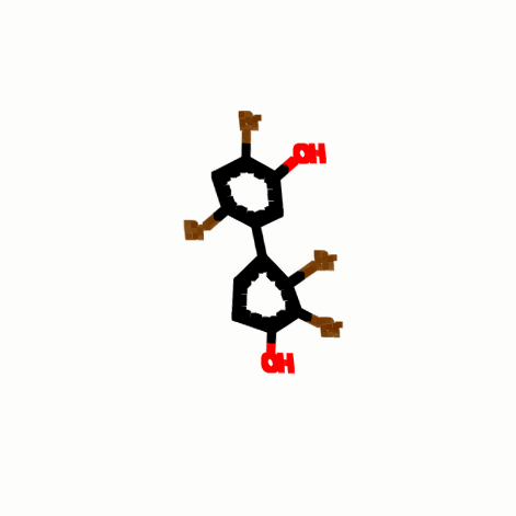 Oc1cc(-c2ccc(O)c(Br)c2Br)c(Br)cc1Br